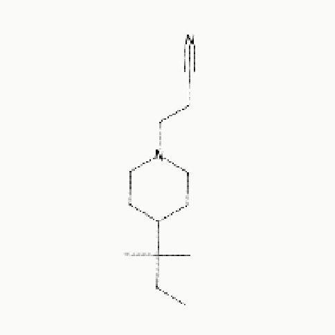 CCC(C)(C)C1CCN(CCC#N)CC1